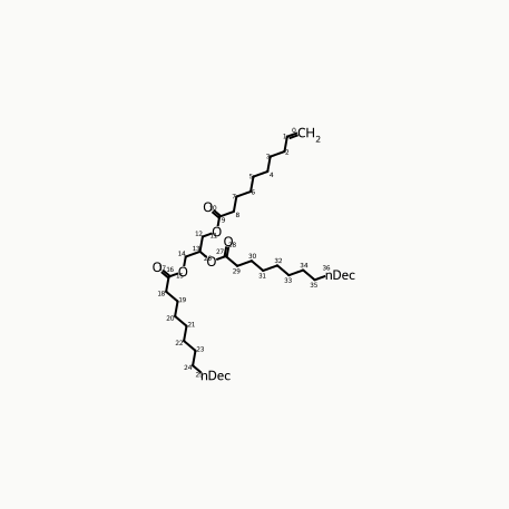 C=CCCCCCCCC(=O)OCC(COC(=O)CCCCCCCCCCCCCCCCC)OC(=O)CCCCCCCCCCCCCCCCC